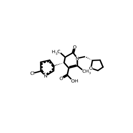 CC1=C(C(=O)O)[C@H](c2ccc(Cl)nc2)C(C)C(=O)N1C[C@@H]1CCCO1